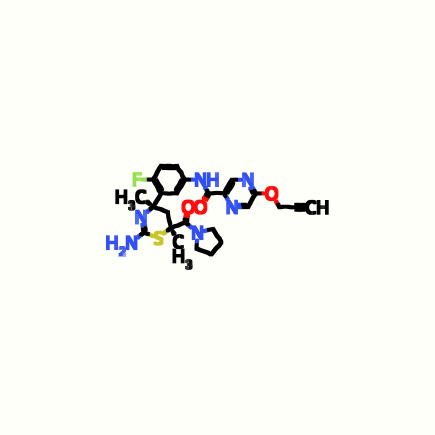 C#CCOc1cnc(C(=O)Nc2ccc(F)c([C@]3(C)C[C@](C)(C(=O)N4CCCC4)SC(N)=N3)c2)cn1